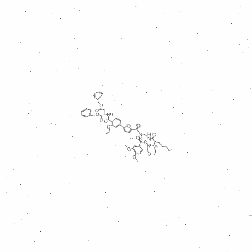 CCCCCC(C(=O)NCNC(=O)c1ccc(-c2ccc(C(=O)NC(CC(=O)OCc3ccccc3)C(=O)OCc3ccccc3)c(OCC)c2)o1)[C@@H](CC)N(C=O)OC(=O)c1ccc(OC)c(OC)c1